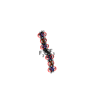 CC1=CC(=O)N(c2ccc(S(=O)(=O)c3ccc(N4C(=O)c5ccc(C(c6ccc7c(c6)C(=O)N(c6ccc(S(=O)(=O)c8ccc(N9C(=O)C=C(C)C9=O)cc8)cc6)C7=O)(C(F)(F)F)C(F)(F)F)cc5C4=O)cc3)cc2)C1=O